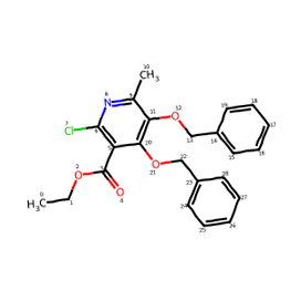 CCOC(=O)c1c(Cl)nc(C)c(OCc2ccccc2)c1OCc1ccccc1